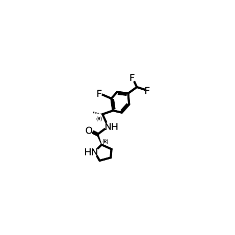 C[C@@H](NC(=O)[C@H]1CCCN1)c1ccc(C(F)F)cc1F